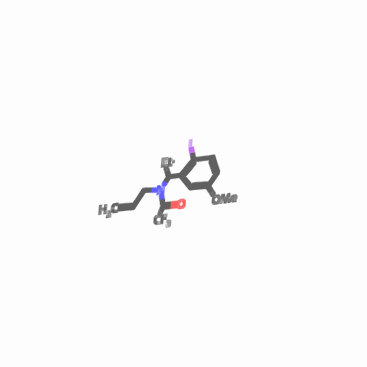 C=CCN(C(=O)C(F)(F)F)C([CH]C)c1cc(OC)ccc1I